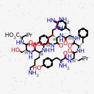 CC(C)C[C@H](NC(=O)[C@@H](N)Cc1ccc(O)cc1)C(=O)N[C@@H](Cc1ccccc1)C(=O)N[C@@H](Cc1ccccc1)C(=O)N[C@@H](Cc1ccc(O)cc1)C(=O)N[C@@H](CCCNC(=N)N)C(=O)N[C@@H](CCCCN)C(=O)N[C@@H](CO)C(=O)N[C@H](C(=O)O)C(C)C